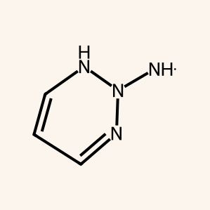 [NH]N1N=CC=CN1